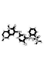 CN1CCc2c(cc(Nc3ncc(Cl)c(Nc4ccccc4S(=O)(=O)N(C)C)n3)c(=O)n2C)C1